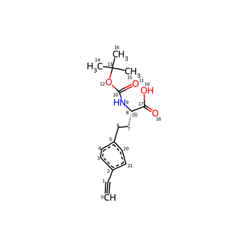 C#Cc1ccc(CC[C@H](NC(=O)OC(C)(C)C)C(=O)O)cc1